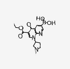 CCOC(=O)c1cn(C2CCN(C)C2)c2ncc(B(O)O)cc2c1=O